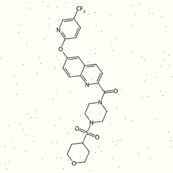 O=C(c1ccc2cc(Oc3ccc(C(F)(F)F)cn3)ccc2n1)N1CCN(S(=O)(=O)C2CCOCC2)CC1